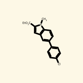 CCOC(=O)c1cc2cc(-c3ccc(Cl)cc3)ccc2n1C